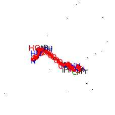 Cc1cc(Nc2ncc(Cl)c(Nc3ccccc3S(=O)(=O)C(C)C)n2)c(OC(C)C)cc1C1CCN(C(=O)CCOCCOCCOCCOCCOCCC(=O)NC(C(=O)N2C[C@H](O)C[C@H]2C(=O)NCc2ccc(-c3scnc3C)cc2)C(C)(C)C)CC1